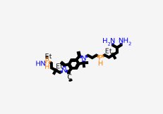 C=C=c1c2cc3c(cc2c(=C)n1CC(C)(CC)CC[PH](=N)CC)C(=C)N(CCCPCCC(C)(CC)CC(CN)CN)C3(C)C